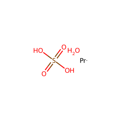 O.O=S(=O)(O)O.[Pr]